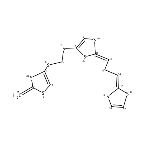 C=C1SC=C(SCSC2=CS/C(=C/CC=C3SC=CS3)S2)S1